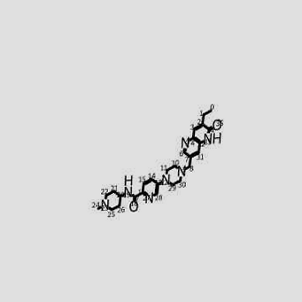 CCc1cc2ncc(CN3CCN(c4ccc(C(=O)NC5CCN(C)CC5)nc4)CC3)cc2[nH]c1=O